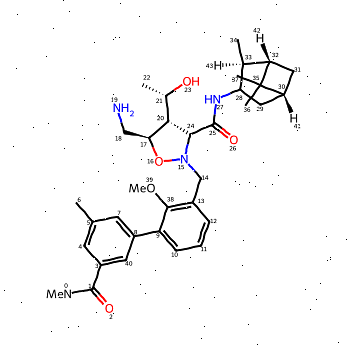 CNC(=O)c1cc(C)cc(-c2cccc(CN3O[C@@H](CN)[C@H]([C@H](C)O)C3C(=O)NC3C[C@H]4C[C@@H]([C@@H]3C)C4(C)C)c2OC)c1